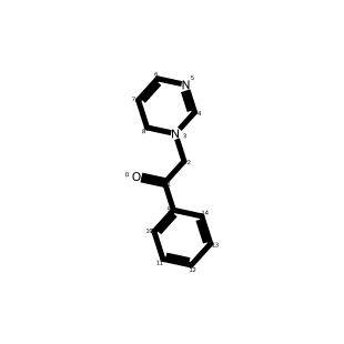 O=C(CN1C=NC=CC1)c1ccccc1